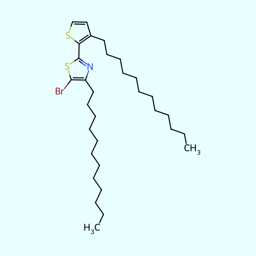 CCCCCCCCCCCCc1ccsc1-c1nc(CCCCCCCCCCCC)c(Br)s1